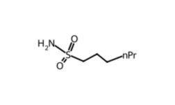 [CH2]CCCCCS(N)(=O)=O